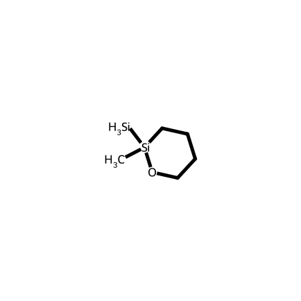 C[Si]1([SiH3])CCCCO1